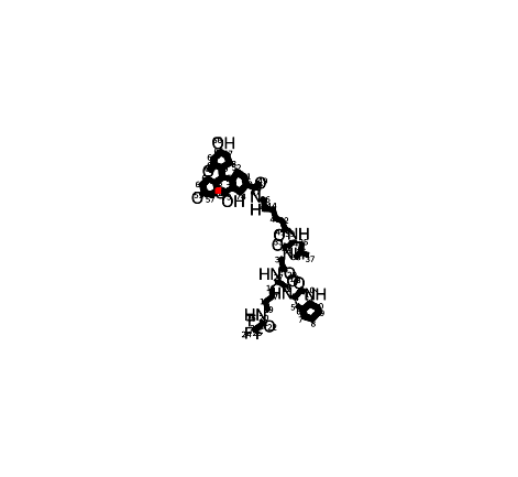 CNC(=O)[C@H](Cc1ccccc1)NC(=O)[C@H](CCCCNC(=O)C(F)(F)F)NC(=O)CNC(=O)[C@H](CC(C)C)NC(=O)CCCCCNC(=O)c1ccc(-c2c3ccc(=O)cc-3oc3cc(O)ccc23)c(C(=O)O)c1